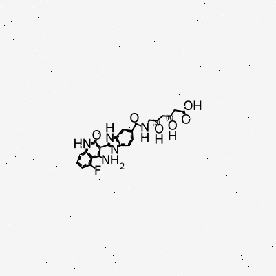 Nc1c(-c2nc3ccc(C(=O)NC[C@@H](O)C[C@@H](O)CC(=O)O)cc3[nH]2)c(=O)[nH]c2cccc(F)c12